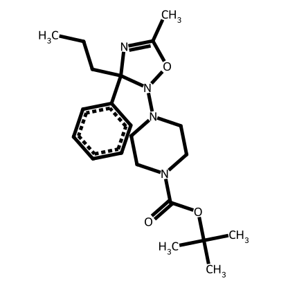 CCCC1(c2ccccc2)N=C(C)ON1N1CCN(C(=O)OC(C)(C)C)CC1